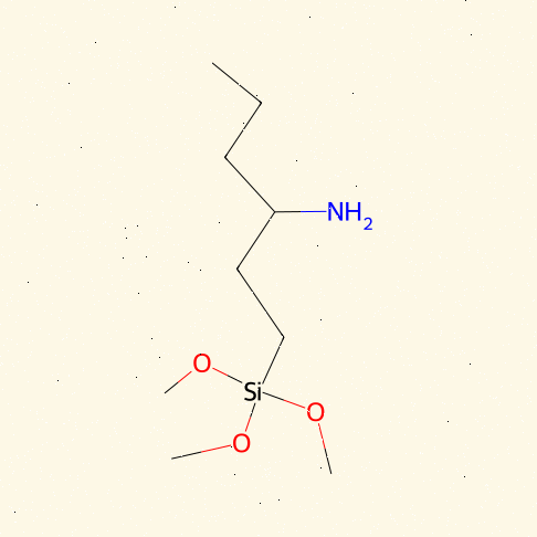 CCCC(N)CC[Si](OC)(OC)OC